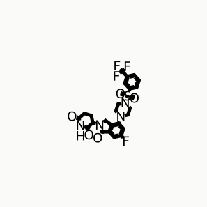 O=C1CCC(N2Cc3c(cc(F)cc3N3CCN(S(=O)(=O)c4cccc(C(F)(F)F)c4)CC3)C2=O)C(=O)N1